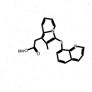 COC(=O)Cc1c(C)c(Sc2cccc3cccnc23)n2ccccc12